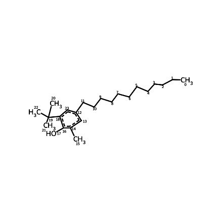 CCCCCCCCCCCCc1cc(C)c(O)c(C(C)(C)C)c1